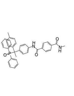 CNC(=O)c1ccc(C(=O)Nc2ccc(C(C)(c3ccc(C)cc3)P(=O)(c3ccccc3)c3ccccc3)cc2)cc1